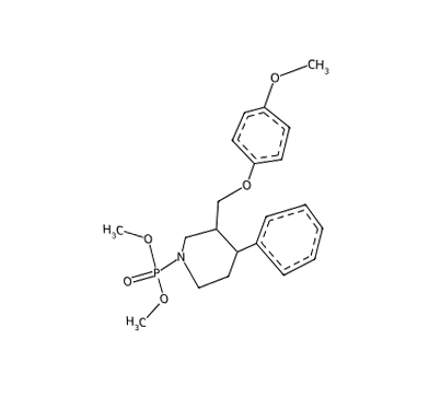 COc1ccc(OCC2CN(P(=O)(OC)OC)CCC2c2ccccc2)cc1